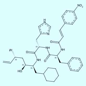 C=C[C@@H](C[C@H](O)[C@H](CC1CCCCC1)NC(=O)[C@H](Cc1c[nH]cn1)NC(=O)[C@H](Cc1ccccc1)NC(=O)C=Cc1ccc([N+](=O)[O-])cc1)C(C)C